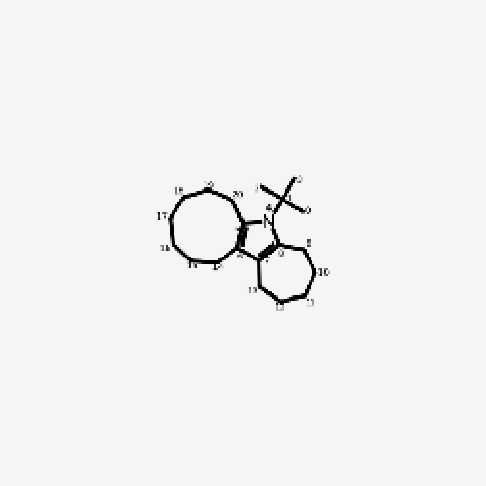 CC(C)(C)n1c2c(c3c1CCCCC3)CCCCCCC2